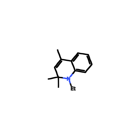 CCN1c2ccccc2C(C)=CC1(C)C